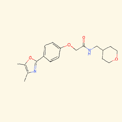 Cc1nc(-c2ccc(OCC(=O)NCC3CCOCC3)cc2)oc1C